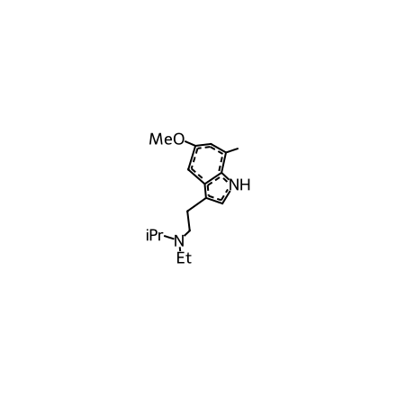 CCN(CCc1c[nH]c2c(C)cc(OC)cc12)C(C)C